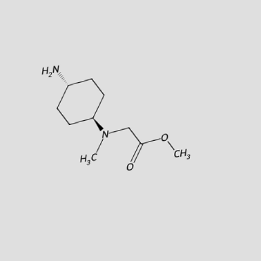 COC(=O)CN(C)[C@H]1CC[C@H](N)CC1